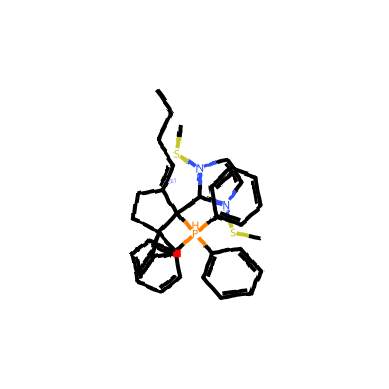 C=C1CC12CC/C(=C\CCC)C2(C1N(SC)C=CN1SC)[PH](c1ccccc1)(c1ccccc1)c1ccccc1